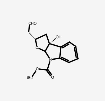 CC(C)(C)OC(=O)N1c2ccccc2[C@]2(O)C[C@@H](CC=O)OC12